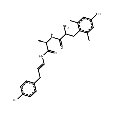 Cc1cc(O)cc(C)c1CC(N)C(=O)N[C@H](C)C(=O)N/C=C/Cc1ccc(C#N)cc1